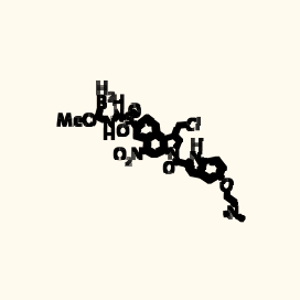 BC(NNS(=O)(=O)c1ccc2c3c(cc([N+](=O)[O-])c2c1)N(C(=O)c1cc2cc(OCCN(C)C)ccc2[nH]1)CC3CCl)OC